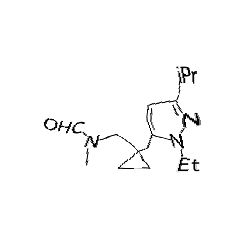 CCn1nc(C(C)C)cc1C1(CN(C)C=O)CC1